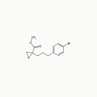 COC(=O)C1(CCCc2ccc(Br)cc2)CO1